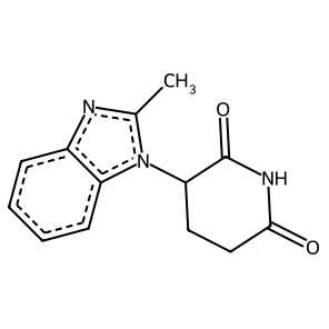 Cc1nc2ccccc2n1C1CCC(=O)NC1=O